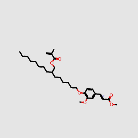 C=C(C)C(=O)OCC(CCCCCCCC)CCCCCCOc1ccc(/C=C/C(=O)OC)cc1OC